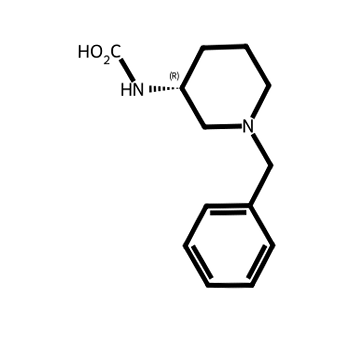 O=C(O)N[C@@H]1CCCN(Cc2ccccc2)C1